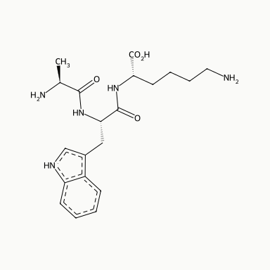 C[C@H](N)C(=O)N[C@@H](Cc1c[nH]c2ccccc12)C(=O)N[C@@H](CCCCN)C(=O)O